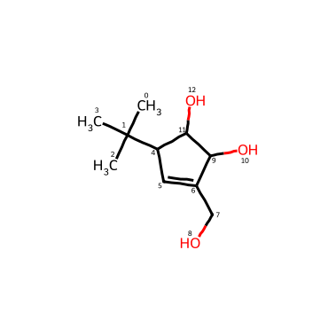 CC(C)(C)C1C=C(CO)C(O)C1O